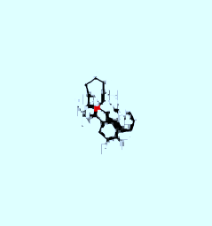 Cn1nc2c(c1-c1cc(F)c(F)c(F)c1)C[C@@H]1CCC[C@H]2N1C(=O)c1cc2ccccn2n1